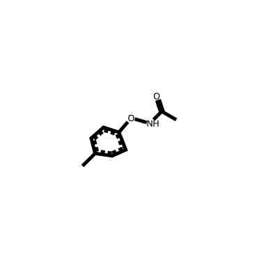 CC(=O)NOc1ccc(C)cc1